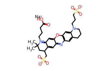 CC1(C)CC(CS(=O)(=O)[O-])c2cc3c(cc2=[N+]1CCCC(=O)O)Oc1cc2c(cc1N=3)CCCN2CCCS(=O)(=O)[O-].[Na+]